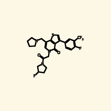 O=C(Cn1cc(CN2CCCC2)c2scc(-c3ccc(F)c(C(F)(F)F)c3)c2c1=O)N1CCC(F)C1